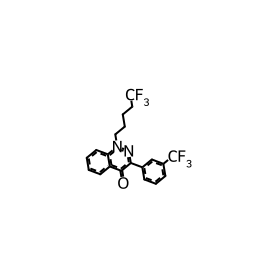 O=c1c(-c2cccc(C(F)(F)F)c2)nn(CCCCC(F)(F)F)c2ccccc12